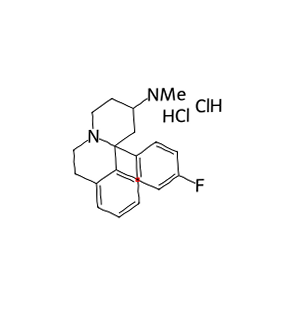 CNC1CCN2CCc3ccccc3C2(c2ccc(F)cc2)C1.Cl.Cl